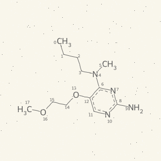 CCCCN(C)c1nc(N)ncc1OCCOC